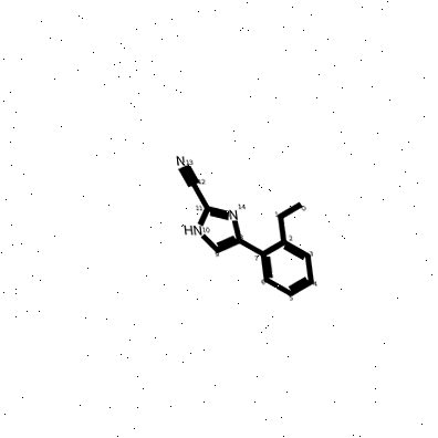 CCc1ccccc1-c1c[nH]c(C#N)n1